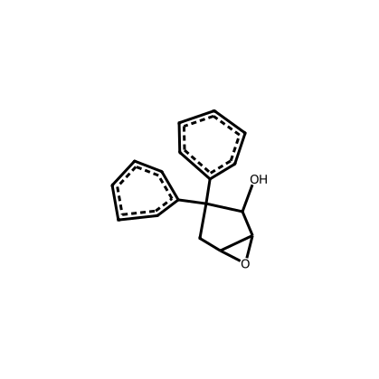 OC1C2OC2CC1(c1ccccc1)c1ccccc1